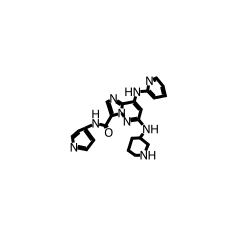 O=C(Nc1ccncc1)c1cnc2c(Nc3ccccn3)cc(NC3CCCNC3)nn12